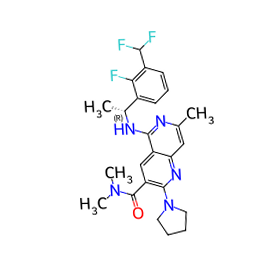 Cc1cc2nc(N3CCCC3)c(C(=O)N(C)C)cc2c(N[C@H](C)c2cccc(C(F)F)c2F)n1